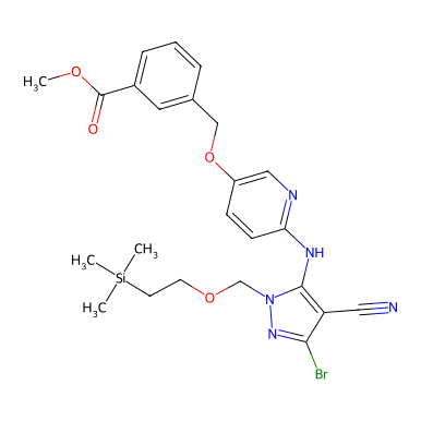 COC(=O)c1cccc(COc2ccc(Nc3c(C#N)c(Br)nn3COCC[Si](C)(C)C)nc2)c1